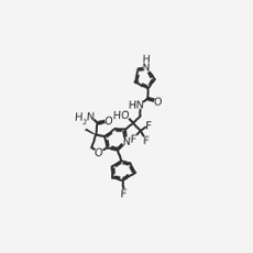 C[C@]1(C(N)=O)COc2c1cc(C(O)(CNC(=O)c1cc[nH]c1)C(F)(F)F)nc2-c1ccc(F)cc1